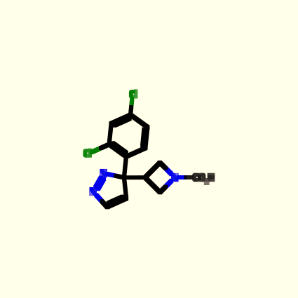 O=C(O)N1CC(C2(c3ccc(Cl)cc3Cl)C=CN=N2)C1